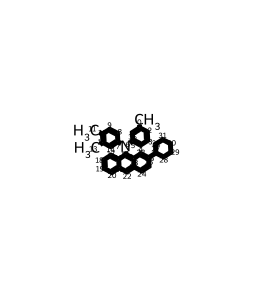 Cc1cccc(N(c2ccc(C)c(C)c2)c2c3ccccc3cc3ccc(C4CCCCC4)cc23)c1